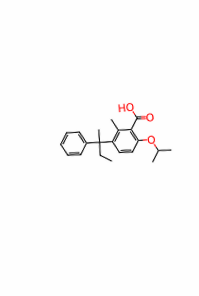 CCC(C)(c1ccccc1)c1ccc(OC(C)C)c(C(=O)O)c1C